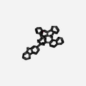 c1ccc(-c2nc(-c3ccc4c(c3)sc3ccccc34)nc(-c3ccc4ccccc4c3-n3c4ccccc4c4ccccc43)n2)cc1